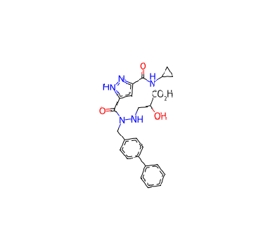 O=C(NC1CC1)c1cc(C(=O)N(Cc2ccc(-c3ccccc3)cc2)NCC(O)C(=O)O)[nH]n1